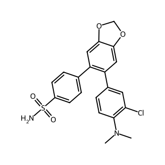 CN(C)c1ccc(-c2cc3c(cc2-c2ccc(S(N)(=O)=O)cc2)OCO3)cc1Cl